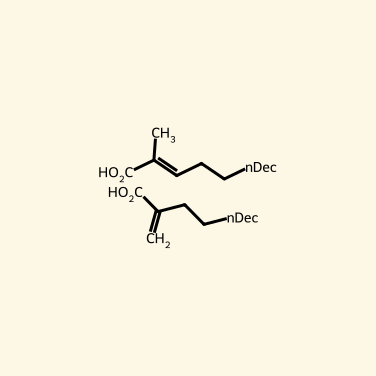 C=C(CCCCCCCCCCCC)C(=O)O.CCCCCCCCCCCCC=C(C)C(=O)O